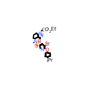 CCOC(=O)Cn1ncc2c1CCCC2N(C)S(=O)(=O)c1cnc(Oc2ccc(C(C)C)cc2)c(Br)c1